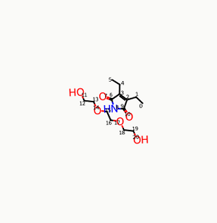 CCC1=C(CC)C(=O)NC1=O.OCCOCCOCCO